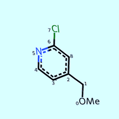 COCc1[c]cnc(Cl)c1